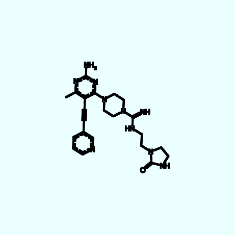 Cc1nc(N)nc(N2CCN(C(=N)NCCN3CCNC3=O)CC2)c1C#Cc1cccnc1